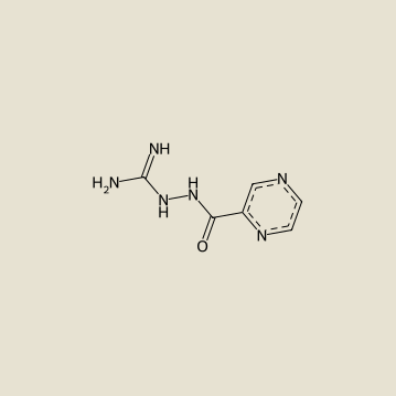 N=C(N)NNC(=O)c1cnccn1